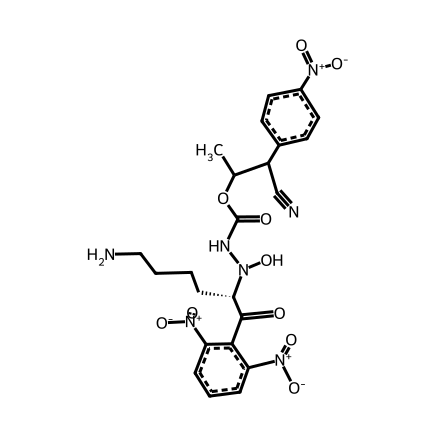 CC(OC(=O)NN(O)[C@@H](CCCCN)C(=O)c1c([N+](=O)[O-])cccc1[N+](=O)[O-])C(C#N)c1ccc([N+](=O)[O-])cc1